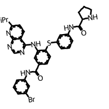 CC(C)c1ccc2c(Nc3cc(C(=O)Nc4cccc(Br)c4)ccc3Sc3cccc(NC(=O)C4CCCN4)c3)ncnc2n1